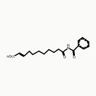 CCCCCCCCC=CCCCCCCCC(=O)NC(=O)c1ccccc1